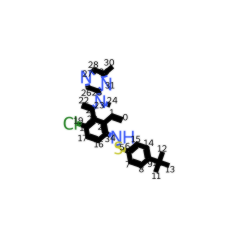 C=Cc1c(NSc2ccc(C(C)(C)C)cc2)ccc(Cl)c1C(=C)N(C)C1CN=CC(C)=N1